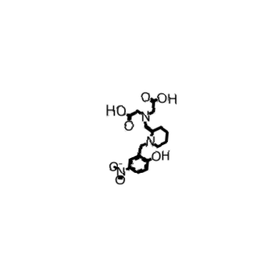 O=C(O)CN(CC(=O)O)CC1CCCCN1Cc1cc([N+](=O)[O-])ccc1O